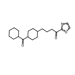 O=C(CCCC1CCN(C(=O)C2CCCCC2)CC1)c1ncco1